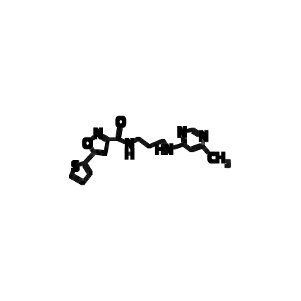 Cc1cc(NCCCNC(=O)c2cc(-c3cccs3)on2)ncn1